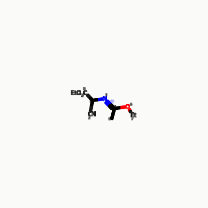 CCOC(=O)C(C#N)/N=C(\C)OCC